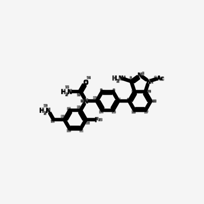 CC(=O)n1nc(N)c2c(-c3ccc(N(C(N)=O)c4cc(CN)ccc4F)cc3)cccc21